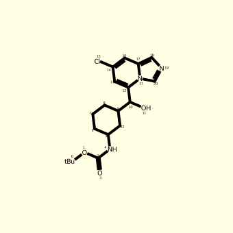 CC(C)(C)OC(=O)NC1CCCC(C(O)c2cc(Cl)cc3cncn23)C1